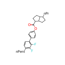 CCCCCc1ccc(-c2ccc(OC(=O)C3CCC4C(CCC)CCC34)cc2)c(F)c1F